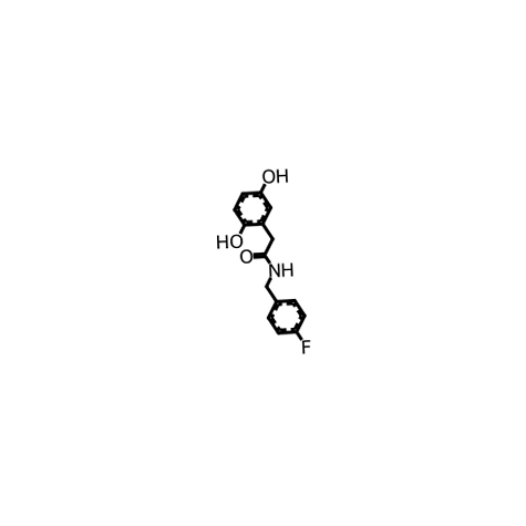 O=C(Cc1cc(O)ccc1O)NCc1ccc(F)cc1